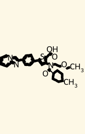 CCOCCN(c1cc(-c2ccc(-c3cn4ccccc4n3)cc2)sc1C(=O)O)C(=O)[C@H]1CC[C@H](C)CC1